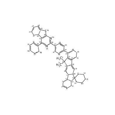 CC1(C)C2=CC3C4=CC=CCC4C4(CCCCC4)C3C=C2C2=C1C(c1ccc(-c3nc4c(c(C5=CC=CCC5)n3)C3CC=CC=C3S4)cc1)=CCC2